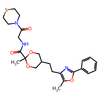 Cc1oc(-c2ccccc2)nc1CCC1COC(C)(C(=O)NCC(=O)N2CCSCC2)OC1